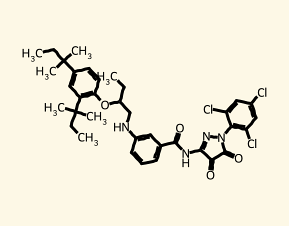 CCC(CNc1cccc(C(=O)NC2=NN(c3c(Cl)cc(Cl)cc3Cl)C(=O)C2=O)c1)Oc1ccc(C(C)(C)CC)cc1C(C)(C)CC